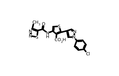 Cc1nnsc1C(=O)Nc1csc(-c2cnn(-c3ccc(Cl)cc3)c2)c1C(=O)O